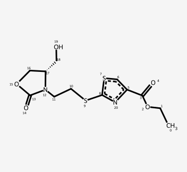 CCOC(=O)c1csc(SCCN2C(=O)OC[C@@H]2CO)n1